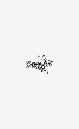 C=CCCO/C(=C\c1cc(C)c(OCCc2nc(-c3ccccc3)oc2C)c(C)c1)C(=O)O